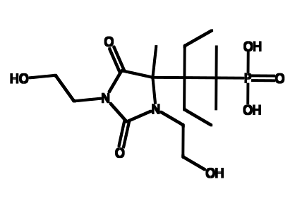 CCC(CC)(C1(C)C(=O)N(CCO)C(=O)N1CCO)C(C)(C)P(=O)(O)O